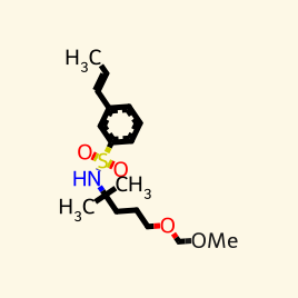 CC=Cc1cccc(S(=O)(=O)NC(C)(C)CCCOCOC)c1